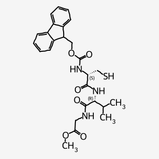 COC(=O)CNC(=O)[C@H](NC(=O)[C@@H](CS)NC(=O)OCC1c2ccccc2-c2ccccc21)C(C)C